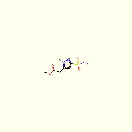 COC(=O)Cc1cc(S(N)(=O)=O)nn1C